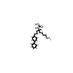 CC(CCCCN)(CCCc1ccc(-c2ccccc2)cc1)NC(=O)O